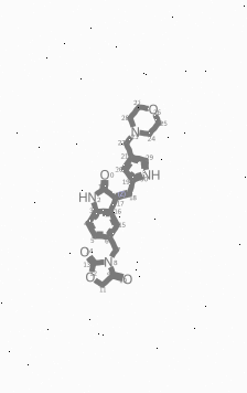 O=C1Nc2ccc(CN3C(=O)COC3=O)cc2/C1=C/c1cc(CN2CCOCC2)c[nH]1